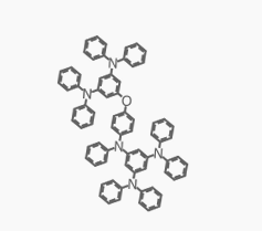 c1ccc(N(c2ccccc2)c2cc(Oc3ccc(N(c4ccccc4)c4cc(N(c5ccccc5)c5ccccc5)cc(N(c5ccccc5)c5ccccc5)c4)cc3)cc(N(c3ccccc3)c3ccccc3)c2)cc1